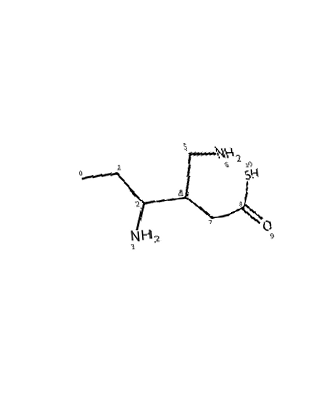 CCC(N)C(CN)CC(=O)S